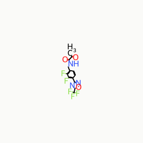 CC(=O)C(=O)NCc1ccc(-c2noc(C(F)(F)F)n2)c(F)c1F